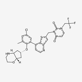 Cc1cc(Cl)cc(-c2ccnc3cc(Cn4c(=O)ccn(CC(F)(F)F)c4=O)sc23)c1O[C@H]1C[C@@H]2NCCO[C@H]2C1